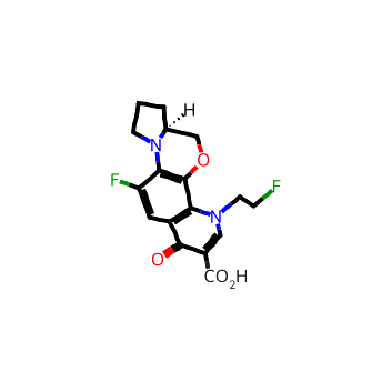 O=C(O)c1cn(CCF)c2c3c(c(F)cc2c1=O)N1CCC[C@H]1CO3